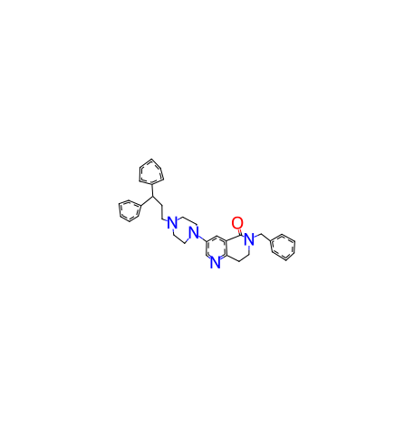 O=C1c2cc(N3CCN(CCC(c4ccccc4)c4ccccc4)CC3)cnc2CCN1Cc1ccccc1